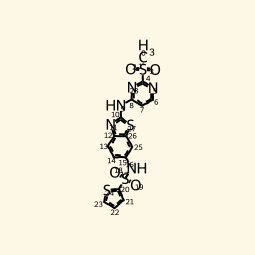 CS(=O)(=O)c1nccc(Nc2nc3ccc(NS(=O)(=O)c4cccs4)cc3s2)n1